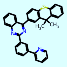 CC1(C)c2ccccc2Sc2ccc(-c3nc(-c4cccc(-c5ccccn5)c4)nc4ccccc34)cc21